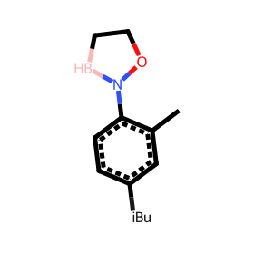 CCC(C)c1ccc(N2BCCO2)c(C)c1